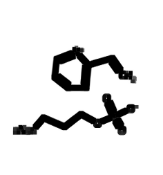 C=CC1=CC=CC=[N+]1.CCCCCCCCCCCCOS(=O)(=O)[O-]